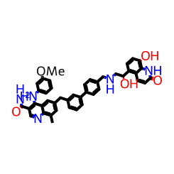 COc1cccc(Nc2c(C(N)=O)cnc3c(C)cc(Cc4cccc(-c5ccc(CNC[C@H](O)c6ccc(O)c7[nH]c(=O)ccc67)cc5)c4)cc23)c1